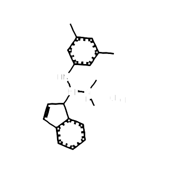 Cc1cc(C)cc([NH][Hf+2]([CH]2C=Cc3ccccc32)[SiH](C)C)c1.[Cl-].[Cl-]